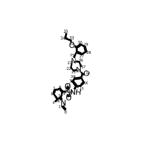 C=C/N=C1\C(=C)C=CC=C1S(=O)(=O)Nc1ccc(C(=O)N2CCCN(Cc3ccccc3OCCC)CC2)cc1